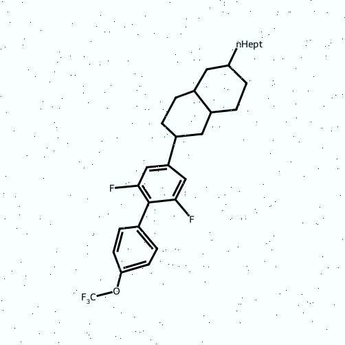 CCCCCCCC1CCC2CC(c3cc(F)c(-c4ccc(OC(F)(F)F)cc4)c(F)c3)CCC2C1